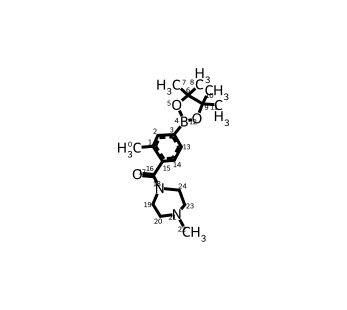 Cc1cc(B2OC(C)(C)C(C)(C)O2)ccc1C(=O)N1CCN(C)CC1